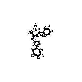 O=C(O)/C(=C/c1ccc(-c2ccccc2)o1)NC(=O)c1ccccc1